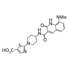 CNc1cccc2cc(C(=O)NC3CCN(c4ncc(C(=O)O)s4)CC3)c(=O)[nH]c12